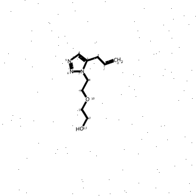 C=CCc1cnnn1CCOCCO